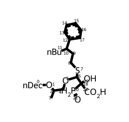 CCCCCCCCCCOC(C)COC(SCCC(CCCC)c1ccccc1)C(O)([PH2]=O)C(=O)O